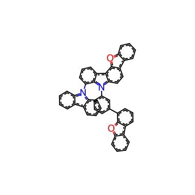 c1cc(-c2cccc3c2oc2ccccc23)cc(-n2c3ccc4c5ccccc5oc4c3c3cccc(-n4c5ccccc5c5ccccc54)c32)c1